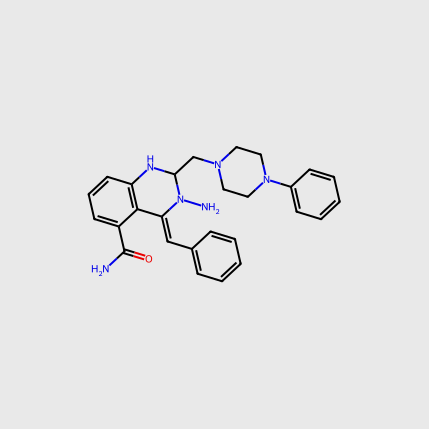 NC(=O)c1cccc2c1/C(=C/c1ccccc1)N(N)C(CN1CCN(c3ccccc3)CC1)N2